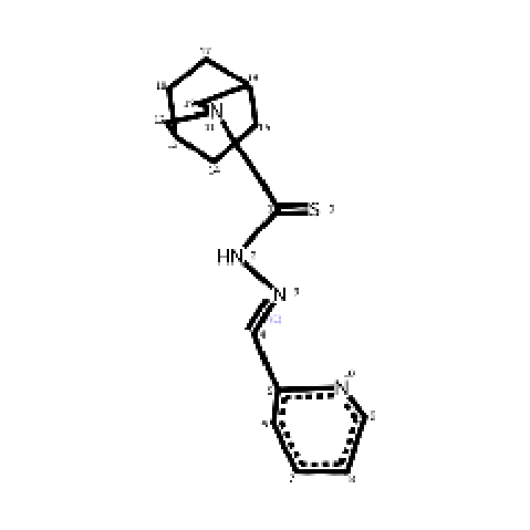 S=C(N/N=C/c1ccccn1)N1CC2CCC(CC2)C1